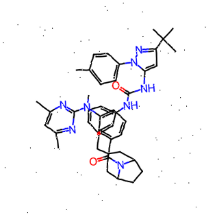 Cc1ccc(-n2nc(C(C)(C)C)cc2NC(=O)Nc2cccc(CC3CC4CCC(C3)N4C(=O)c3cccc(N(C)c4nc(C)cc(C)n4)c3)c2)cc1